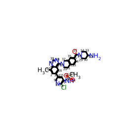 Cc1cc(-c2cnc(Cl)c(NS(C)(=O)=O)c2)cc2c(N3CCc4ccc(C(=O)N5CCC(N)CC5)cc4C3)ncnc12